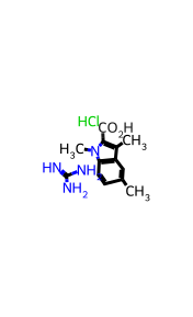 Cc1ccc2c(c1)c(C)c(C(=O)O)n2C.Cl.N=C(N)N